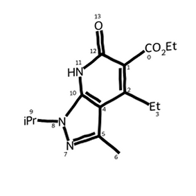 CCOC(=O)c1c(CC)c2c(C)nn(C(C)C)c2[nH]c1=O